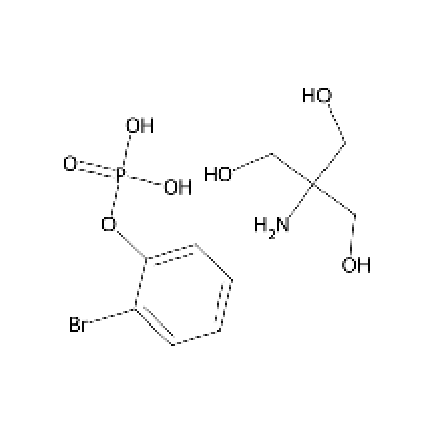 NC(CO)(CO)CO.O=P(O)(O)Oc1ccccc1Br